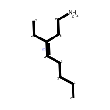 CCCC/C=C(/CC)CCN